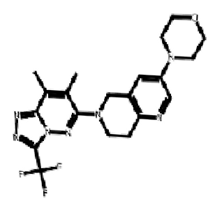 Cc1c(N2CCc3ncc(N4CCOCC4)cc3C2)nn2c(C(F)(F)F)nnc2c1C